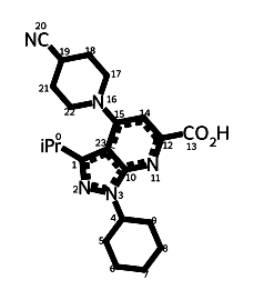 CC(C)c1nn(C2CCCCC2)c2nc(C(=O)O)cc(N3CCC(C#N)CC3)c12